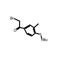 CCCCSc1ccc(C(=O)CBr)cc1C